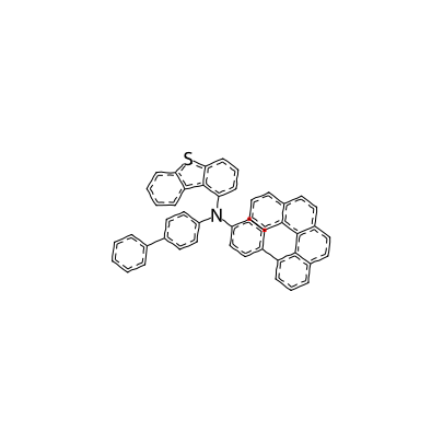 c1ccc(-c2ccc(N(c3ccc(-c4cccc5ccc6ccc7ccccc7c6c45)cc3)c3cccc4sc5ccccc5c34)cc2)cc1